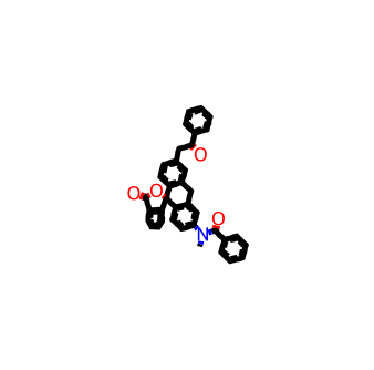 CN(C(=O)c1ccccc1)c1ccc2c(c1)Cc1cc(CC(=O)c3ccccc3)ccc1C21OC(=O)c2ccccc21